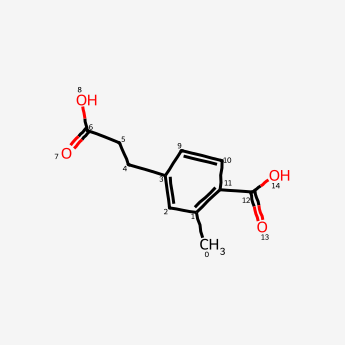 Cc1cc(CCC(=O)O)ccc1C(=O)O